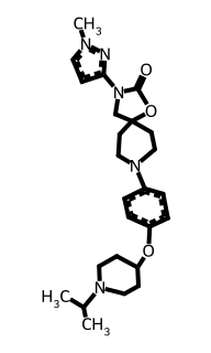 CC(C)N1CCC(Oc2ccc(N3CCC4(CC3)CN(c3ccn(C)n3)C(=O)O4)cc2)CC1